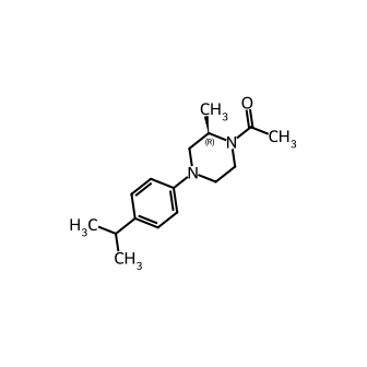 CC(=O)N1CCN(c2ccc(C(C)C)cc2)C[C@H]1C